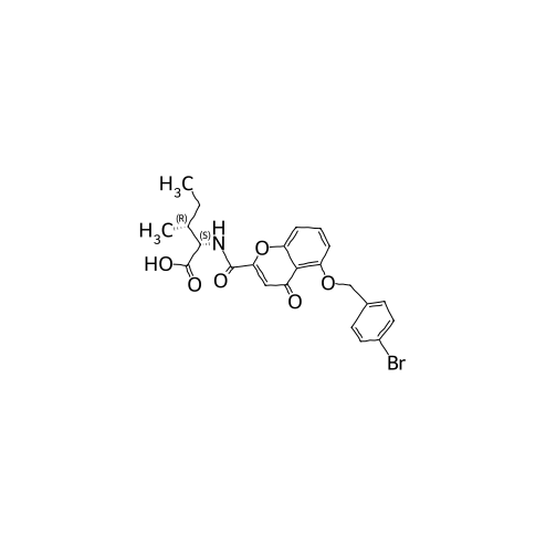 CC[C@@H](C)[C@H](NC(=O)c1cc(=O)c2c(OCc3ccc(Br)cc3)cccc2o1)C(=O)O